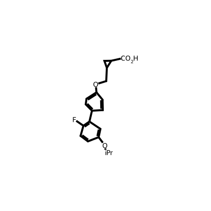 CC(C)Oc1ccc(F)c(-c2ccc(OCC3CC3C(=O)O)cc2)c1